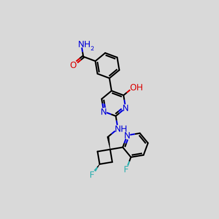 NC(=O)c1cccc(-c2cnc(NC[C@]3(c4ncccc4F)C[C@H](F)C3)nc2O)c1